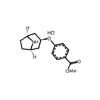 COC(=O)c1ccc(O[C@H]2C[C@H]3CC[C@@H](C2)N3)cc1.Cl